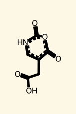 O=C(O)Cc1c[nH]c(=O)oc1=O